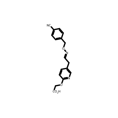 N#Cc1ccc(CON=CCc2ccc(OCC(=O)O)nc2)cc1